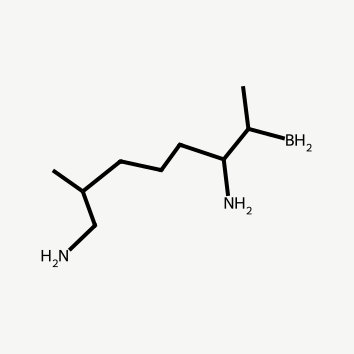 BC(C)C(N)CCCC(C)CN